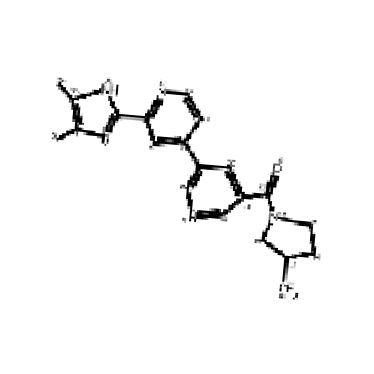 Cc1nc(-c2cc(-c3cncc(C(=O)N4CCC(C(F)(F)F)C4)c3)ccn2)[nH]c1C